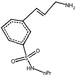 CCCNS(=O)(=O)c1cccc(/C=C/CN)c1